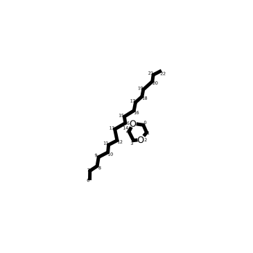 C1COCCO1.CCCCCCCCCCCCCCCCC